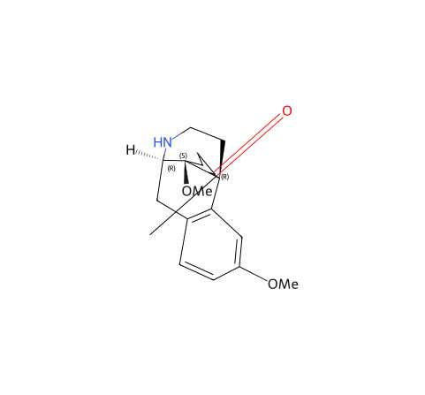 COc1ccc2c(c1)[C@]13CCN[C@H](C2)[C@]1(OC)CCC(=O)C3